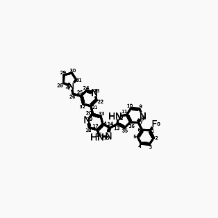 Fc1ccccc1-c1nccc2[nH]c(-c3n[nH]c4cnc(-c5cncc(CN6CCCC6)c5)cc34)cc12